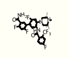 C[C@@H]1CN(c2cc(F)c(-c3cc(C(N)=O)c(F)cc3F)cc2NC(=O)c2ccc(F)cc2C(F)(F)F)C[C@H](C)N1C